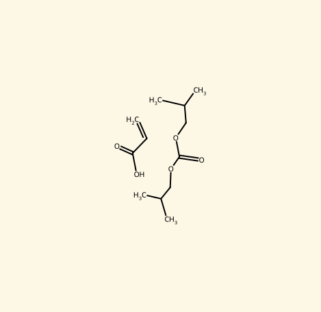 C=CC(=O)O.CC(C)COC(=O)OCC(C)C